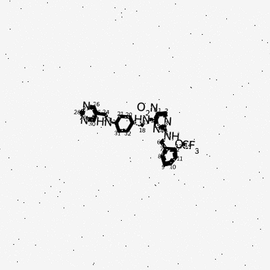 O=[N+]([O-])c1cnc(NCc2ccccc2OC(F)(F)F)nc1NC[C@H]1CC[C@H](NCc2cncnc2)CC1